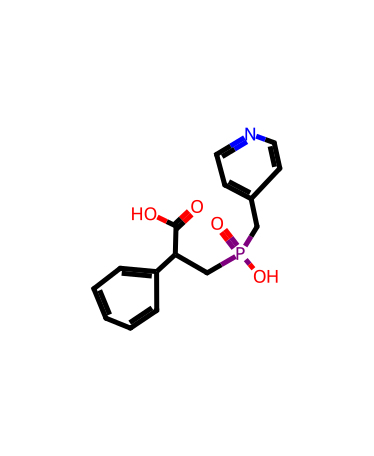 O=C(O)C(CP(=O)(O)Cc1ccncc1)c1ccccc1